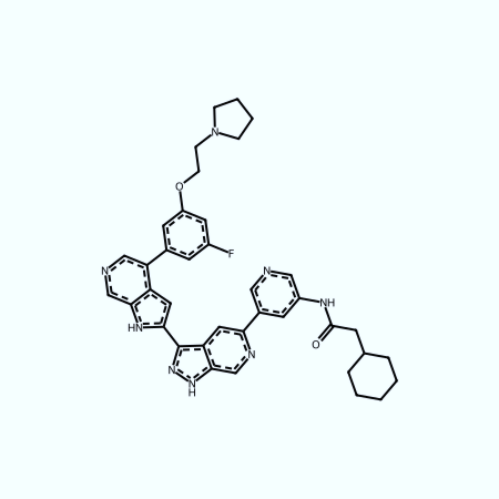 O=C(CC1CCCCC1)Nc1cncc(-c2cc3c(-c4cc5c(-c6cc(F)cc(OCCN7CCCC7)c6)cncc5[nH]4)n[nH]c3cn2)c1